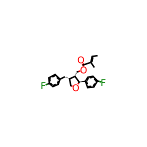 C/C=C(\C)C(=O)OC[C@H]1[C@@H](Cc2ccc(F)cc2)CO[C@@H]1c1ccc(F)cc1